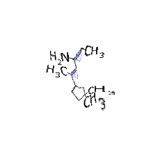 C/C=C(N)\C=C(/C)C1CCC(C)(C)C1